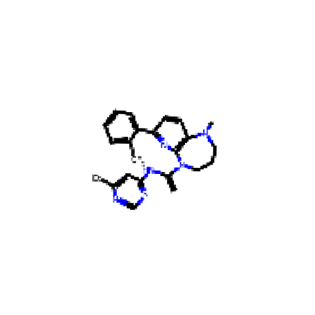 C=C(Nc1cc(CC)ncn1)N1CCCN(C)c2ccc(-c3ccccc3C(F)(F)F)nc21